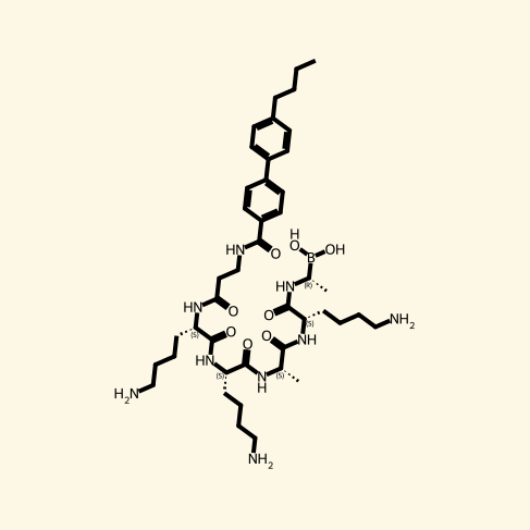 CCCCc1ccc(-c2ccc(C(=O)NCCC(=O)N[C@@H](CCCCN)C(=O)N[C@@H](CCCCN)C(=O)N[C@@H](C)C(=O)N[C@@H](CCCCN)C(=O)N[C@@H](C)B(O)O)cc2)cc1